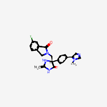 C=C1NC(=O)[C@@](CN2Cc3ccc(F)cc3C2=O)(c2ccc(-c3cncn3C)cc2)N1